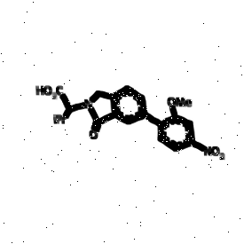 COc1cc([N+](=O)[O-])ccc1-c1ccc2c(c1)C(=O)N(C(C(=O)O)C(C)C)C2